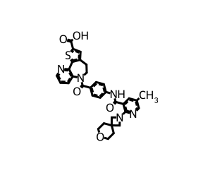 Cc1cnc(N2CC3(CCOCC3)C2)c(C(=O)Nc2ccc(C(=O)N3CCc4cc(C(=O)O)sc4-c4ncccc43)cc2)c1